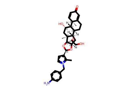 Cc1c([C@@H]2O[C@@H]3C[C@H]4[C@@H]5CCC6=CC(=O)C=C[C@]6(C)[C@H]5[C@@H](O)C[C@]4(C)[C@]3(C(=O)CO)O2)ccn1Cc1ccc(N)cc1